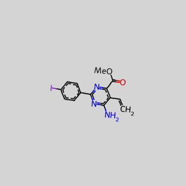 C=Cc1c(N)nc(-c2ccc(I)cc2)nc1C(=O)OC